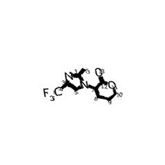 Cc1nc(C(F)(F)F)cn1C1CCCOC1=O